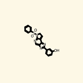 O=S(=O)(c1ccccc1)N1CC=c2c1ncc1c2=NC(c2cccc(O)c2)=N1